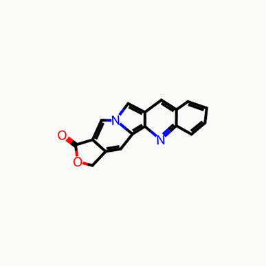 O=C1OCc2cc3c4nc5ccccc5cc4cn3cc21